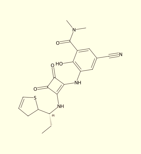 CC[C@@H](Nc1c(Nc2cc(C#N)cc(C(=O)N(C)C)c2O)c(=O)c1=O)C1CC=CS1